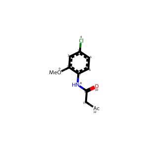 COc1cc(Cl)ccc1NC(=O)CC(C)=O